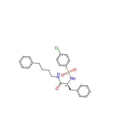 O=C(NCCCCc1ccccc1)[C@H](Cc1cc[c]cc1)NS(=O)(=O)c1ccc(Cl)cc1